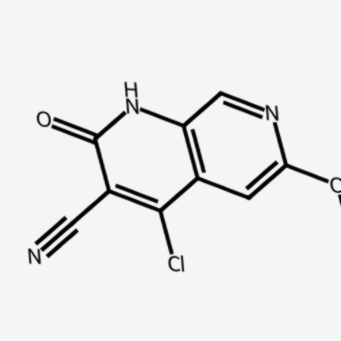 COc1cc2c(Cl)c(C#N)c(=O)[nH]c2cn1